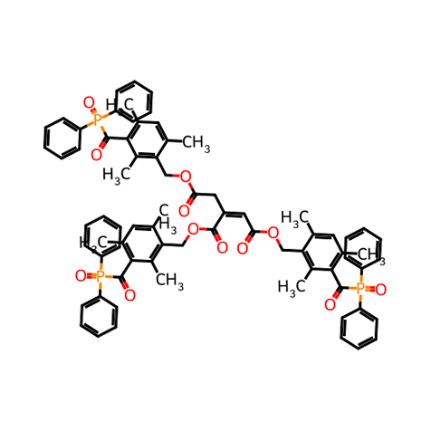 Cc1cc(C)c(C(=O)P(=O)(c2ccccc2)c2ccccc2)c(C)c1COC(=O)/C=C(/CC(=O)OCc1c(C)cc(C)c(C(=O)P(=O)(c2ccccc2)c2ccccc2)c1C)C(=O)OCc1c(C)cc(C)c(C(=O)P(=O)(c2ccccc2)c2ccccc2)c1C